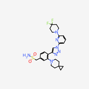 NS(=O)(=O)Cc1ccc(-c2cn(-c3cccc(N4CCC(F)(F)CC4)n3)nn2)c(N2CCC3(CC2)CC3)c1